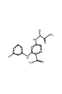 CCC(Nc1cnc(C(N)=O)c(Nc2ccnc(F)c2)n1)C(N)=O